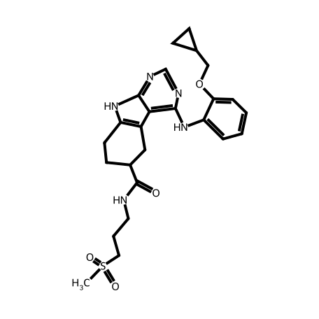 CS(=O)(=O)CCCNC(=O)C1CCc2[nH]c3ncnc(Nc4ccccc4OCC4CC4)c3c2C1